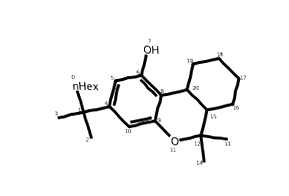 CCCCCCC(C)(C)c1cc(O)c2c(c1)OC(C)(C)C1CCCCC21